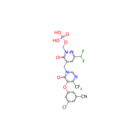 N#Cc1cc(Cl)cc(Oc2c(C(F)(F)F)ncn(Cc3cc(C(F)F)nn(COP(=O)(O)O)c3=O)c2=O)c1